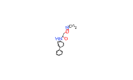 C=NOCC(=O)Nc1ccc(-c2ccccc2)cc1